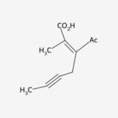 CC#CC/C(C(C)=O)=C(\C)C(=O)O